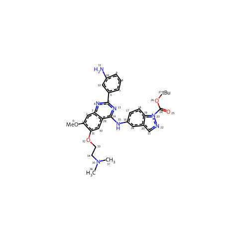 COc1cc2nc(-c3cccc(N)c3)nc(Nc3ccc4c(cnn4C(=O)OC(C)(C)C)c3)c2cc1OCCN(C)C